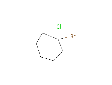 ClC1(Br)CCCCC1